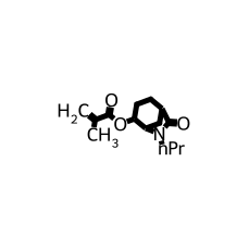 C=C(C)C(=O)OC1CCC2CC1N(CCC)C2=O